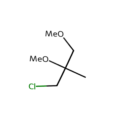 COCC(C)(CCl)OC